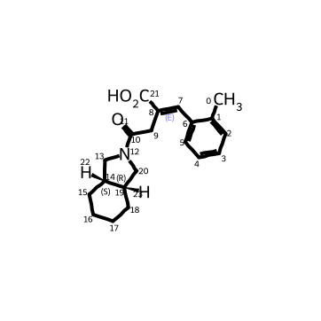 Cc1ccccc1/C=C(\CC(=O)N1C[C@H]2CCCC[C@H]2C1)C(=O)O